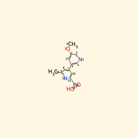 COc1cncc(-c2cc(C)nc(C(=O)O)c2)c1